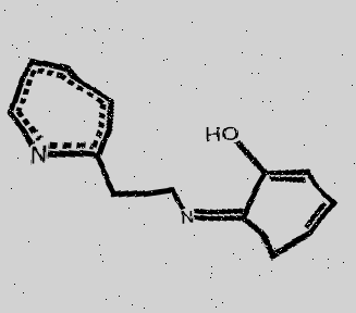 OC1=CC=CCC1=NCCc1ccccn1